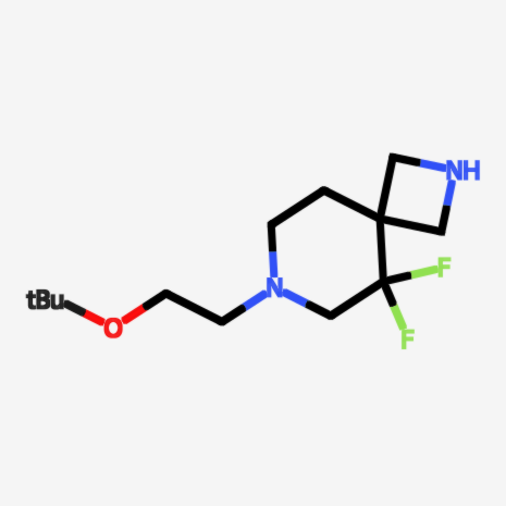 CC(C)(C)OCCN1CCC2(CNC2)C(F)(F)C1